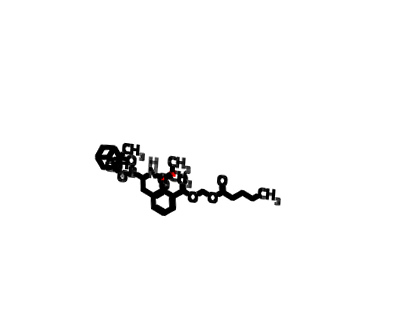 CCCCC(=O)OCOC(=O)c1cccc(CC(NC(=O)CC)B2OC3CC4CC(C4(C)C)C3(C)O2)c1OC